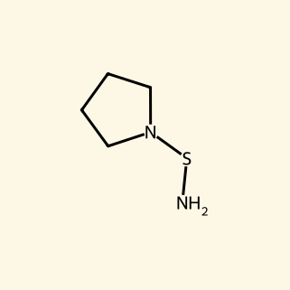 NSN1CCCC1